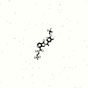 Cc1cc(C(C)N2Cc3c(ccnc3C(=O)NCCS(C)(=O)=O)C2=O)cnc1OCC(F)(F)F